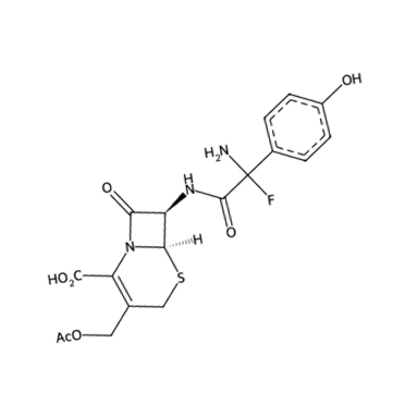 CC(=O)OCC1=C(C(=O)O)N2C(=O)[C@@H](NC(=O)C(N)(F)c3ccc(O)cc3)[C@H]2SC1